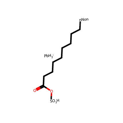 CCCCCCCCCCCCCCCCCC(=O)OS(=O)(=O)O.[PbH2]